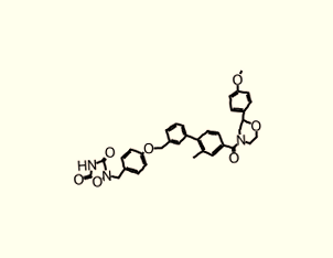 COc1ccc(C2CN(C(=O)c3ccc(-c4cccc(COc5ccc(Cn6oc(=O)[nH]c6=O)cc5)c4)c(C)c3)CCO2)cc1